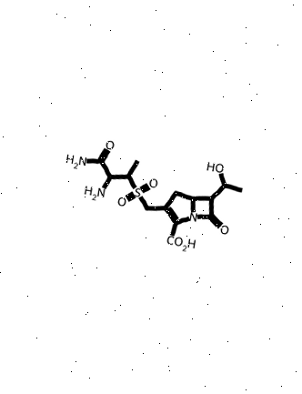 CC(O)C1C(=O)N2C(C(=O)O)=C(CS(=O)(=O)C(C)C(N)C(N)=O)CC12